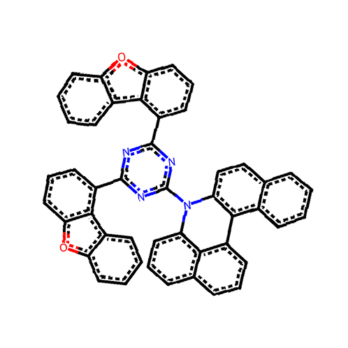 c1ccc2c3c(ccc2c1)N(c1nc(-c2cccc4oc5ccccc5c24)nc(-c2cccc4oc5ccccc5c24)n1)c1cccc2cccc-3c12